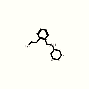 CC(C)CCc1[c]cccc1CNC1CCCCC1